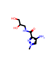 Cn1cc(N)c(C(=O)NCC(O)CO)n1